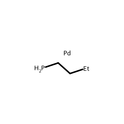 CCCCP.[Pd]